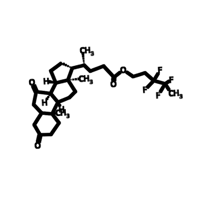 C[C@H](CCC(=O)OCCC(F)(F)C(C)(F)F)[C@H]1CC[C@H]2[C@@H]3C(=O)CC4CC(=O)CC[C@]4(C)[C@H]3CC[C@]12C